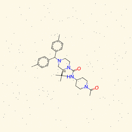 CC(=O)N1CCC(NC(=O)N2CCN(C(c3ccc(C)cc3)c3ccc(C)cc3)C[C@@H]2C(C)(C)C)CC1